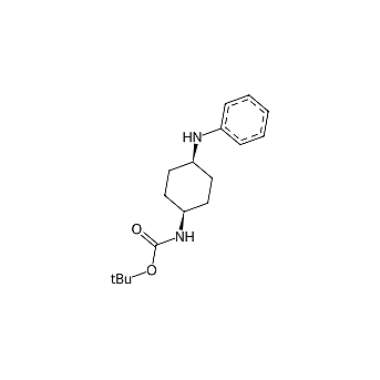 CC(C)(C)OC(=O)N[C@H]1CC[C@@H](Nc2ccccc2)CC1